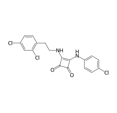 O=c1c(NCCc2ccc(Cl)cc2Cl)c(Nc2ccc(Cl)cc2)c1=O